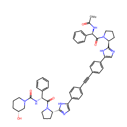 COC(=O)N[C@@H](C(=O)N1CCC[C@H]1c1ncc(-c2ccc(C#Cc3ccc(-c4cnc([C@@H]5CCCN5C(=O)[C@H](NC(=O)N5CCC[C@@H](O)C5)c5ccccc5)[nH]4)cc3)cc2)[nH]1)c1ccccc1